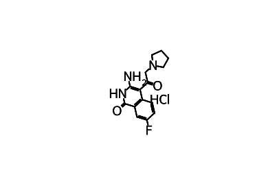 Cl.Nc1[nH]c(=O)c2cc(F)ccc2c1C(=O)CN1CCCC1